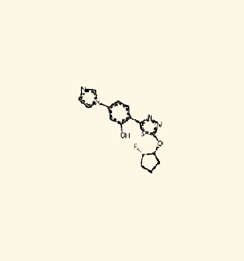 Oc1cc(-n2ccnc2)ccc1-c1nnc(O[C@H]2CCC[C@@H]2F)s1